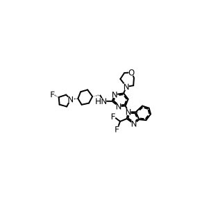 FC(F)c1nc2ccccc2n1-c1cc(N2CCOCC2)nc(NC[C@H]2CC[C@@H](N3CC[C@H](F)C3)CC2)n1